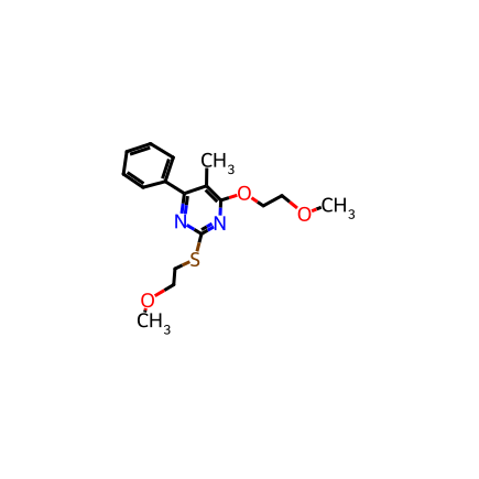 COCCOc1nc(SCCOC)nc(-c2ccccc2)c1C